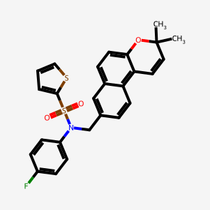 CC1(C)C=Cc2c(ccc3cc(CN(c4ccc(F)cc4)S(=O)(=O)c4cccs4)ccc23)O1